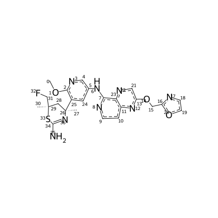 COc1ncc(Nc2nccc3nc(OCc4ncco4)cnc23)cc1[C@]1(C)C[C@](C)(CF)SC(N)=N1